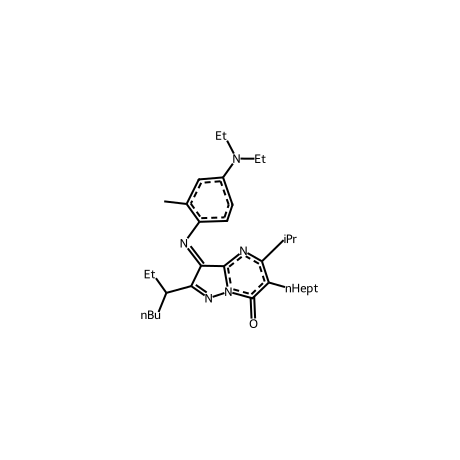 CCCCCCCc1c(C(C)C)nc2n(c1=O)N=C(C(CC)CCCC)C2=Nc1ccc(N(CC)CC)cc1C